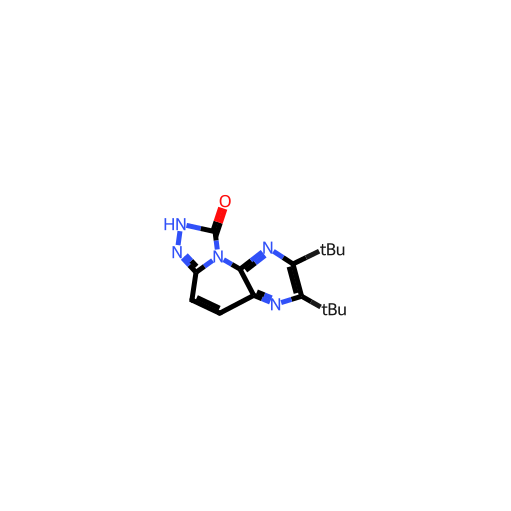 CC(C)(C)c1nc2ccc3n[nH]c(=O)n3c2nc1C(C)(C)C